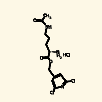 CC(=O)NCCC[C@H](N)C(=O)OCc1cc(Cl)nc(Cl)c1.Cl